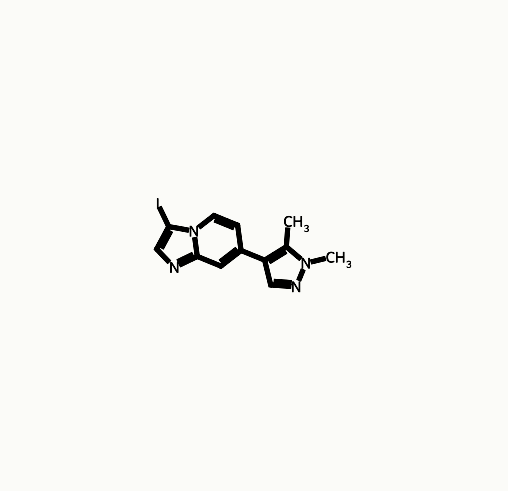 Cc1c(-c2ccn3c(I)cnc3c2)cnn1C